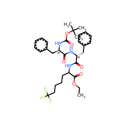 CCOC(=O)C(CCCCC(F)(F)F)NC(=O)[C@@H](Cc1ccccc1)NC(=O)[C@@H](Cc1ccccc1)NC(=O)OC(C)(C)C